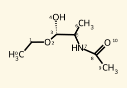 CCO[C@H](O)C(C)NC(C)=O